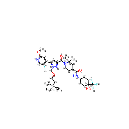 COc1cc(-c2cc(C(=O)N3CCC(C(=O)N[C@H]4CC[C@@](O)(C(F)(F)F)CC4)CC3(C)C)nn2COCC[Si](C)(C)C)c(F)cn1